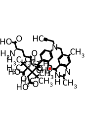 C#CCN(Cc1cc2c(=O)[nH]c(C)nc2cc1C)c1ccc(C(=O)N(C(=O)CC[C@H](N)C(=O)O)[C@](C(=O)O)(C(C)(C)C)C(CC(=O)O)(C(C)(C)C)C(C)(C)C)c(F)c1